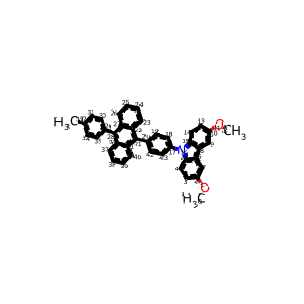 COc1ccc2c(c1)c1cc(OC)ccc1n2-c1ccc(-c2c3ccccc3c(-c3ccc(C)cc3)c3ccccc23)cc1